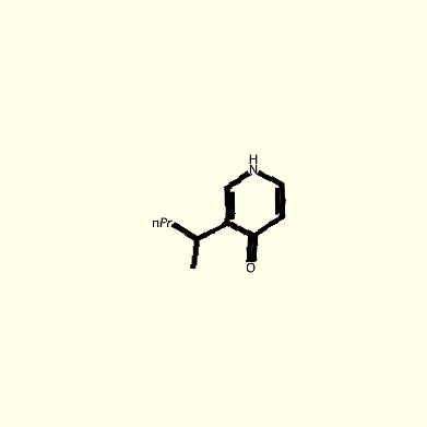 CCCC(C)c1c[nH]ccc1=O